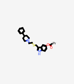 CC(C)C(=O)Oc1ccc2[nH]cc(CSCCN3CCC(c4ccccc4)CC3)c2c1